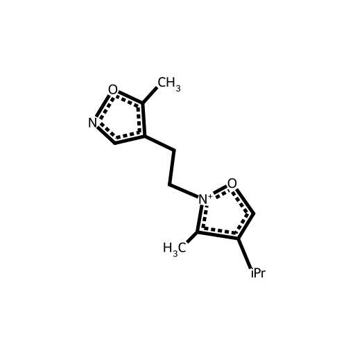 Cc1oncc1CC[n+]1occ(C(C)C)c1C